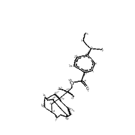 CCC(C)c1ccc(C(=O)OC(C)(C)C23CC4CC(CC(C4)C2)C3)cc1